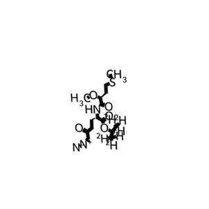 [2H]C([2H])([2H])C(OC(=O)[C@H](CCC(=O)C=[N+]=[N-])NC(=O)[C@H](CCSC)OC)C([2H])([2H])[2H]